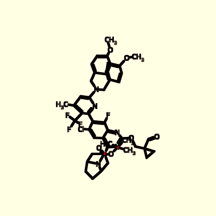 COc1ccc(CN(Cc2ccc(OC)cc2)c2cc(C)c(C(F)(F)F)c(-c3c(Cl)cc4c(N5CC6CCC(C5)N6C(=O)OC(C)(C)C)nc(OCC5(C=O)CC5)nc4c3F)n2)cc1